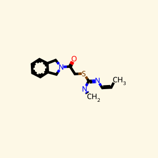 C=N/C(=N\C=C/C)SCC(=O)N1Cc2ccccc2C1